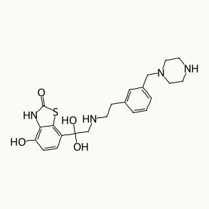 O=c1[nH]c2c(O)ccc(C(O)(O)CNCCc3cccc(CN4CCNCC4)c3)c2s1